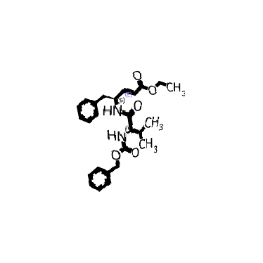 CCOC(=O)/C=C/[C@H](Cc1ccccc1)NC(=O)[C@@H](NC(=O)OCc1ccccc1)C(C)C